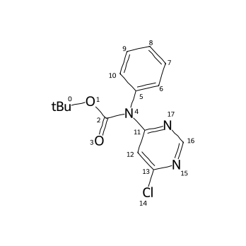 CC(C)(C)OC(=O)N(c1ccccc1)c1cc(Cl)ncn1